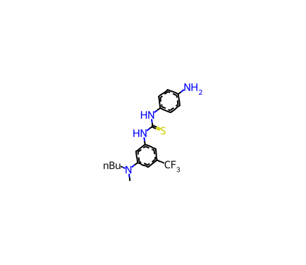 CCCCN(C)c1cc(NC(=S)Nc2ccc(N)cc2)cc(C(F)(F)F)c1